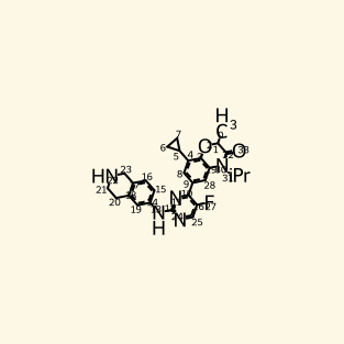 CC1Oc2c(C3CC3)cc(-c3nc(Nc4ccc5c(c4)CCNC5)ncc3F)cc2N(C(C)C)C1=O